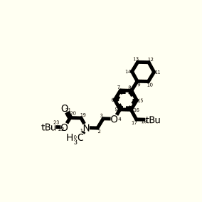 CN(CCOc1ccc(C2CCCCC2)cc1CC(C)(C)C)CC(=O)OC(C)(C)C